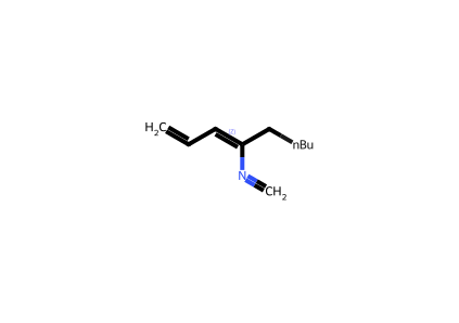 C=C/C=C(/CCCCC)N=C